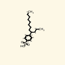 CCCCCCCCC(CCC)c1ccc(S(=O)(=O)O)cc1